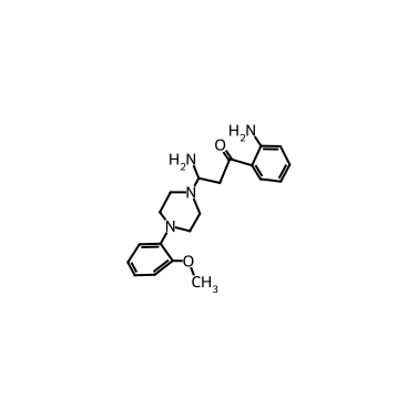 COc1ccccc1N1CCN(C(N)CC(=O)c2ccccc2N)CC1